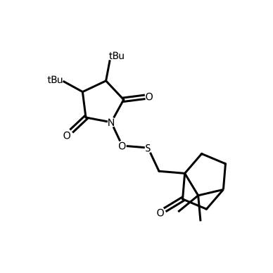 CC(C)(C)C1C(=O)N(OSCC23CCC(CC2=O)C3(C)C)C(=O)C1C(C)(C)C